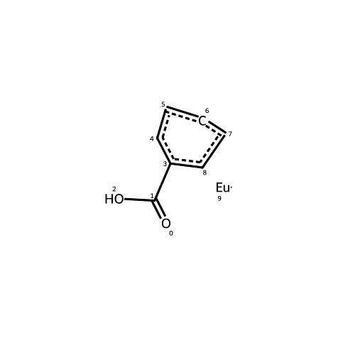 O=C(O)c1ccccc1.[Eu]